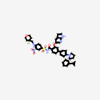 O=C(NS(=O)(=O)c1ccc(NCC2(F)CCOCC2)c([N+](=O)[O-])c1)c1ccc(-c2ccc(N3CCC[C@@H]3c3ccccc3C3CC3)cc2)cc1Oc1cnc2[nH]ccc2c1